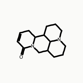 O=C1C=CCC2C3CCCN4CCCC(CN12)C34